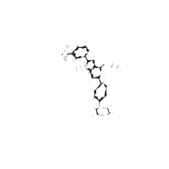 Cc1nc(-c2ccc(N3CCN(C(C)C)CC3)cc2)cc2[nH]c(-c3cccc(S(C)(=O)=O)c3)cc12